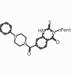 CCCCCn1c(=S)[nH]c2cc(C(=O)N3CCN(c4ccccc4)CC3)ccc2c1=O